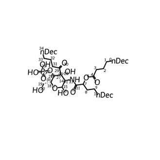 CCCCCCCCCCCCCC(=O)OC(CCCCCCCCCCCC)C(=O)N[C@H]1C(O)O[C@H](CO)[C@@H](OP(=O)(O)O)[C@@]1(O)C(=O)CCCCCCCCCCCCC